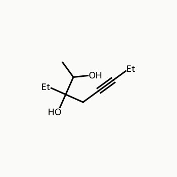 [CH2]CC#CCC(O)(CC)C(C)O